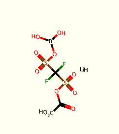 O=C(O)C(=O)OS(=O)(=O)C(F)(F)S(=O)(=O)OB(O)O.[LiH]